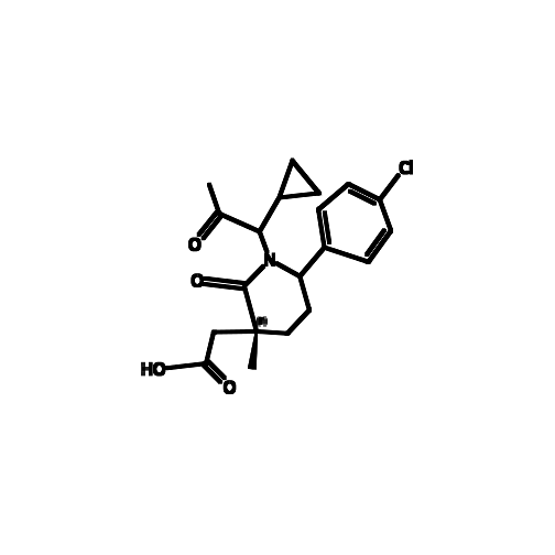 CC(=O)C(C1CC1)N1C(=O)[C@@](C)(CC(=O)O)CCC1c1ccc(Cl)cc1